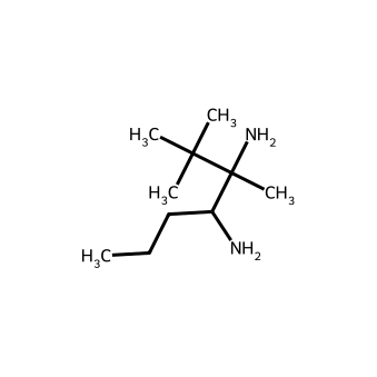 CCCC(N)C(C)(N)C(C)(C)C